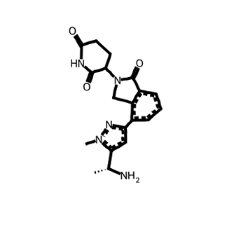 C[C@@H](N)c1cc(-c2cccc3c2CN(C2CCC(=O)NC2=O)C3=O)nn1C